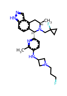 Cc1nc([C@@H]2c3ccc4[nH]ncc4c3C[C@@H](C)N2CC2(F)CC2)ccc1NC1CN(CCCF)C1